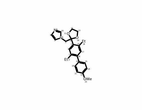 CCc1cc(C2(Cn3ccnc3)OCCO2)c(CC)cc1-c1ccc(OC)cc1